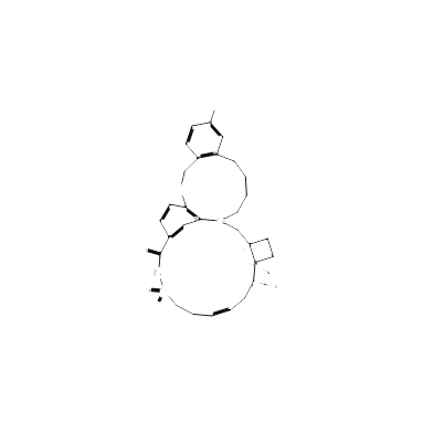 C[C@]12CC[C@@H]1CN1CCCCc3cc(Cl)ccc3COc3ccc(cc31)C(=O)NS(=O)(=O)CC/C=C\C[C@@H]2O